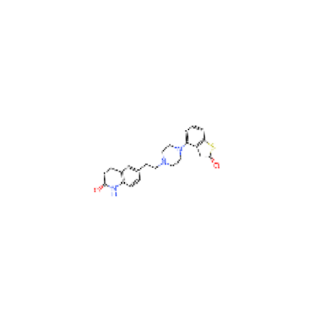 O=C1CCc2cc(CCN3CCN(c4cccc5c4CC(=O)S5)CC3)ccc2N1